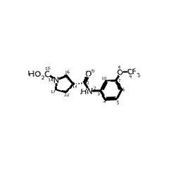 O=C(Nc1cccc(OC(F)(F)F)c1)[C@@H]1CCN(C(=O)O)C1